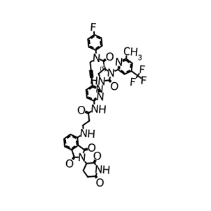 Cc1cc(C(F)(F)F)cc(N2C(=O)NC[C@H]2C(=O)N(CC#Cc2ccc(NC(=O)CCNc3cccc4c3C(=O)N(C3CCC(=O)NC3=O)C4=O)nn2)c2ccc(F)cc2)n1